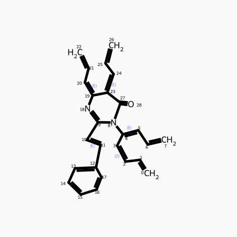 C=C/C=C\C(=C/C=C)n1c(/C=C/c2ccccc2)nc(=C/C=C)/c(=C\C=C)c1=O